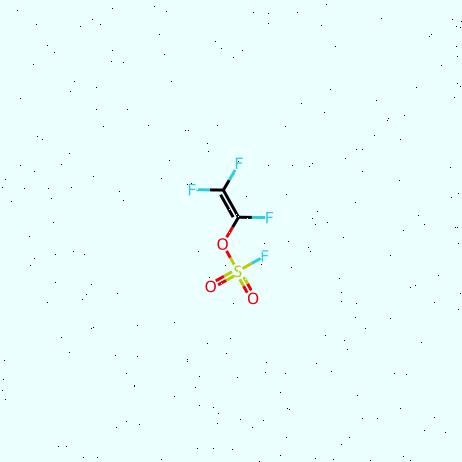 O=S(=O)(F)OC(F)=C(F)F